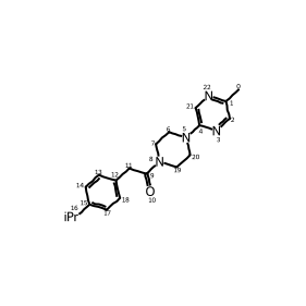 Cc1cnc(N2CCN(C(=O)Cc3ccc(C(C)C)cc3)CC2)cn1